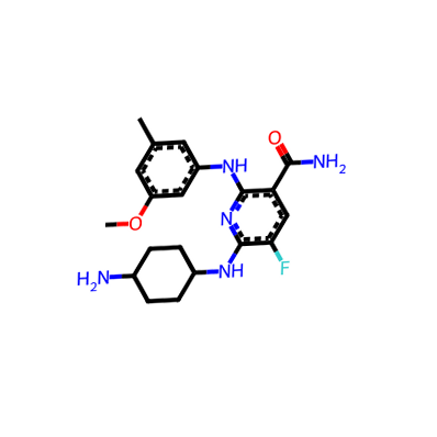 COc1cc(C)cc(Nc2nc(NC3CCC(N)CC3)c(F)cc2C(N)=O)c1